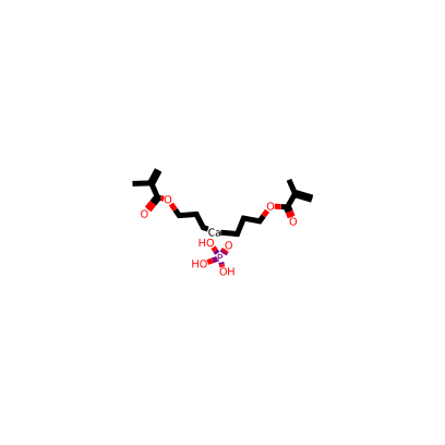 C=C(C)C(=O)OCC[CH2][Ca][CH2]CCOC(=O)C(=C)C.O=P(O)(O)O